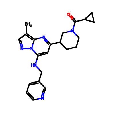 Bc1cnn2c(NCc3cccnc3)cc(C3CCCN(C(=O)C4CC4)C3)nc12